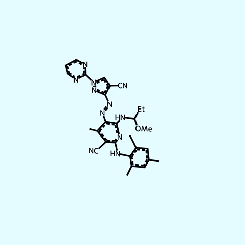 CCC(Nc1nc(Nc2c(C)cc(C)cc2C)c(C#N)c(C)c1N=Nc1nn(-c2ncccn2)cc1C#N)OC